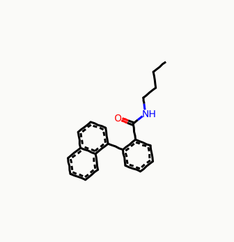 CCCCNC(=O)c1ccccc1-c1cccc2ccccc12